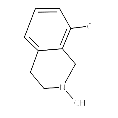 CN1CCc2cccc(Cl)c2C1